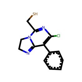 SCC1=NC(Cl)=C(c2ccccc2)C2=NCCN12